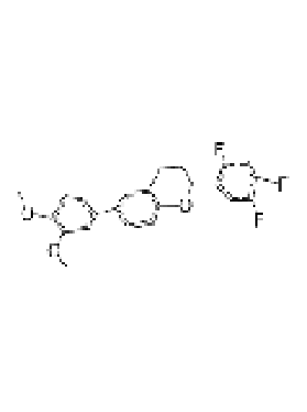 COc1ccc(-c2ccc3c(c2)CCC(c2cc(F)c(F)cc2F)O3)cc1OC